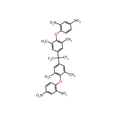 Cc1cc(C(c2cc(C)c(Oc3ccc([N+](=O)[O-])cc3[N+](=O)[O-])c(C)c2)(C(F)(F)F)C(F)(F)F)cc(C)c1Oc1ccc([N+](=O)[O-])cc1[N+](=O)[O-]